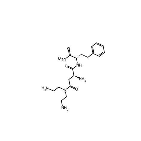 CNC(=O)[C@H](CCc1ccccc1)NC(=O)[C@@H](N)CC(=O)N(CCN)CCN